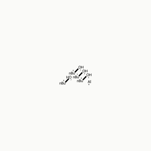 CCCCO.CCCCO.CCCCO.CCCCO.[Al]